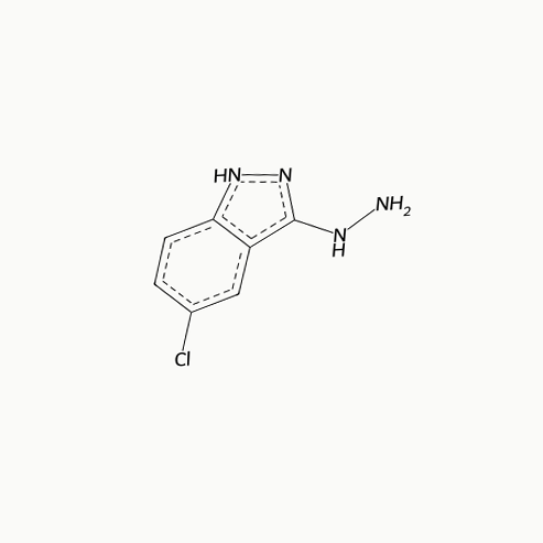 NNc1n[nH]c2ccc(Cl)cc12